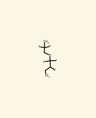 CC(F)(F)COC(F)(F)C(F)CC(F)(F)F